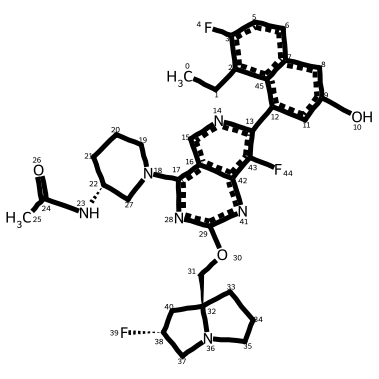 CCc1c(F)ccc2cc(O)cc(-c3ncc4c(N5CCC[C@@H](NC(C)=O)C5)nc(OC[C@@]56CCCN5C[C@H](F)C6)nc4c3F)c12